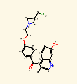 Cc1cnc2cc(O)ccc2c1C(=O)c1ccc(OCCN2CC(CF)C2)cc1